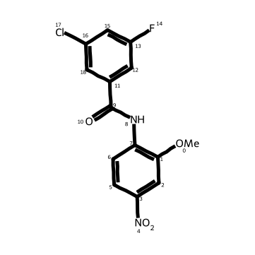 COc1cc([N+](=O)[O-])ccc1NC(=O)c1cc(F)cc(Cl)c1